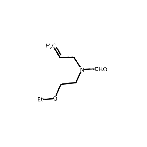 C=CCN(C=O)CCOCC